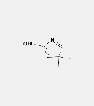 CC1(C)C=NC(C=O)=C1